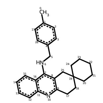 Cc1ccc(CNc2c3c(nc4ccccc24)CCC2(CCCCC2)C3)cc1